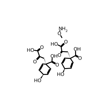 CON.O=C(O)C(=O)C[C@]1(C(=O)O)C=C[C@@H](O)C=C1.O=C(O)C(=O)C[C@]1(C(=O)O)C=C[C@@H](O)C=C1